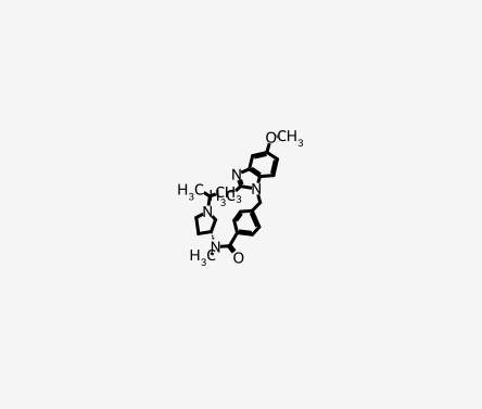 COc1ccc2c(c1)nc(C)n2Cc1ccc(C(=O)N(C)[C@@H]2CCN(C(C)C)C2)cc1